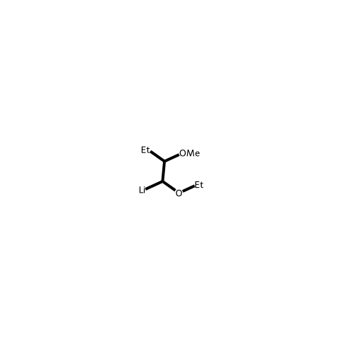 [Li][CH](OCC)C(CC)OC